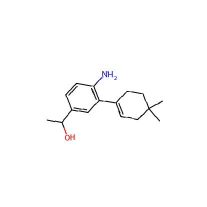 CC(O)c1ccc(N)c(C2=CCC(C)(C)CC2)c1